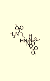 CCOC(=O)CO/N=C(/NCCCC(N)C(=O)OCC)NC(=O)OCC